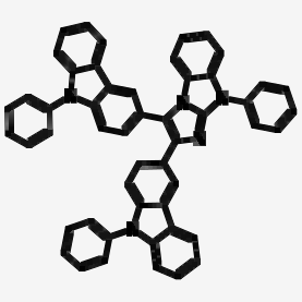 c1ccc(-n2c3ccccc3c3cc(-c4nc5n(-c6ccccc6)c6ccccc6n5c4-c4ccc5c(c4)c4ccccc4n5-c4ccccc4)ccc32)cc1